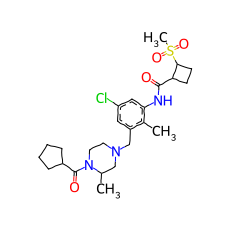 Cc1c(CN2CCN(C(=O)C3CCCC3)C(C)C2)cc(Cl)cc1NC(=O)C1CCC1S(C)(=O)=O